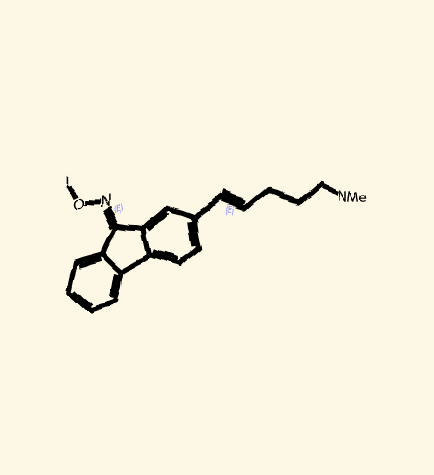 CNCCC/C=C/c1ccc2c(c1)/C(=N/OI)c1ccccc1-2